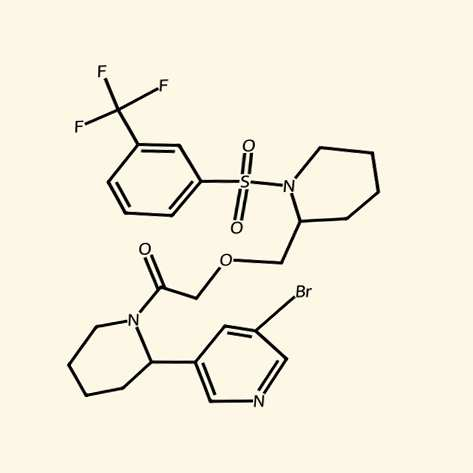 O=C(COCC1CCCCN1S(=O)(=O)c1cccc(C(F)(F)F)c1)N1CCCCC1c1cncc(Br)c1